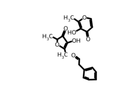 CC1=C(O)C(=O)C(C)O1.Cc1occc(=O)c1O.O=CCc1ccccc1